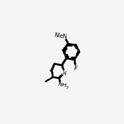 CNc1ccc(F)c(C2CCC(C)C(N)=N2)c1